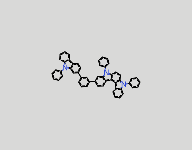 c1ccc(-n2c3ccccc3c3ccc(-c4cccc(-c5ccc6c7c8c9ccccc9n(-c9ccccc9)c8ccc7n(-c7ccccc7)c6c5)c4)cc32)cc1